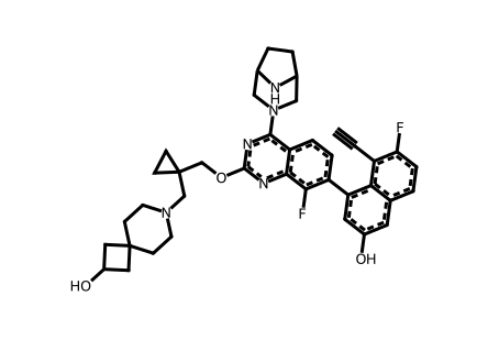 C#Cc1c(F)ccc2cc(O)cc(-c3ccc4c(N5CC6CCC(C5)N6)nc(OCC5(CN6CCC7(CC6)CC(O)C7)CC5)nc4c3F)c12